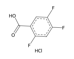 Cl.O=C(O)c1cc(F)c(F)cc1F